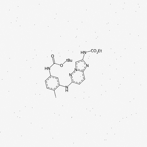 CCOC(=O)Nc1cn2nc(Nc3cc(NC(=O)OC(C)(C)C)ccc3C)ccc2n1